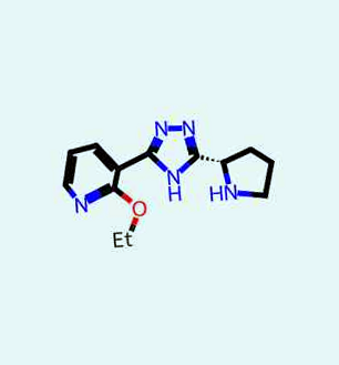 CCOc1ncccc1-c1nnc([C@@H]2CCCN2)[nH]1